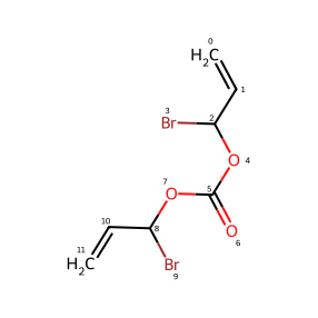 C=CC(Br)OC(=O)OC(Br)C=C